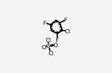 Fc1cc(F)c(Cl)c(F)c1.O=S(=O)(Cl)Cl